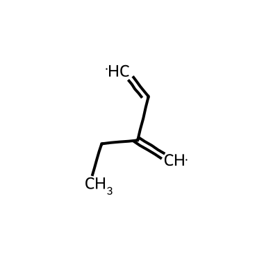 [CH]=CC(=[CH])CC